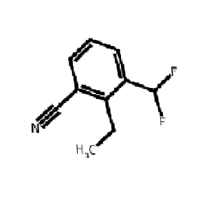 CCc1c(C#N)cccc1[C](F)F